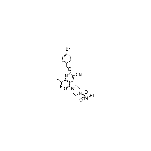 CCNS(=O)(=O)N1CCN(C(=O)c2cc(C#N)c(OCc3ccc(Br)cc3)nc2C(F)F)CC1